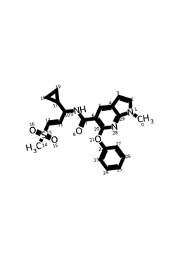 Cn1ccc2cc(C(=O)NC(C=CS(C)(=O)=O)C3CC3)c(Oc3ccccc3)nc21